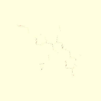 CCOc1cc(Cc2cnc(N)nc2N)cc(OCC2CC2)c1-c1ccc(OCC#N)cc1